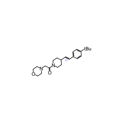 CC(C)(C)c1ccc(/C=C/C2CCN(C(=O)CN3CCOCC3)CC2)cc1